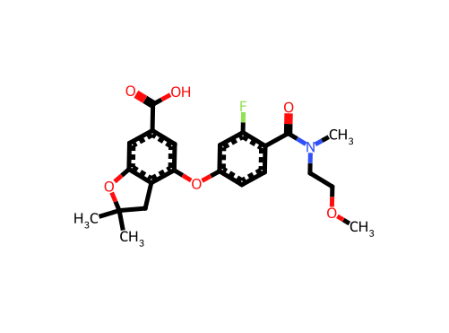 COCCN(C)C(=O)c1ccc(Oc2cc(C(=O)O)cc3c2CC(C)(C)O3)cc1F